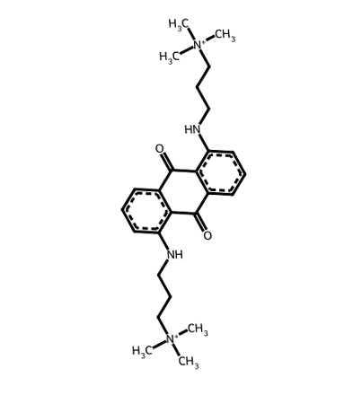 C[N+](C)(C)CCCNc1cccc2c1C(=O)c1cccc(NCCC[N+](C)(C)C)c1C2=O